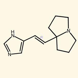 C(=C\C12CCCN1CCC2)/c1cnc[nH]1